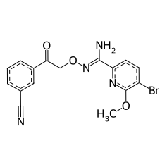 COc1nc(/C(N)=N/OCC(=O)c2cccc(C#N)c2)ccc1Br